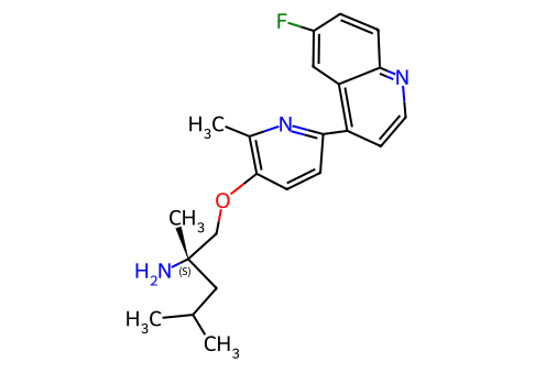 Cc1nc(-c2ccnc3ccc(F)cc23)ccc1OC[C@@](C)(N)CC(C)C